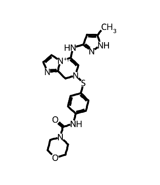 Cc1cc(NC2=CN(Sc3ccc(NC(=O)N4CCOCC4)cc3)CC3=NC=C[N+]23)n[nH]1